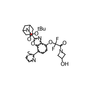 CC(C)(C)OC(=O)N1C2CC1CN(c1nc3c(OC(F)(F)C(=O)N4CC(O)C4)ccc(-c4nccs4)c3o1)C2